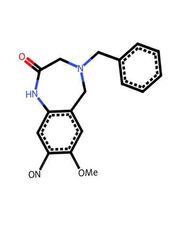 COc1cc2c(cc1N=O)NC(=O)CN(Cc1ccccc1)C2